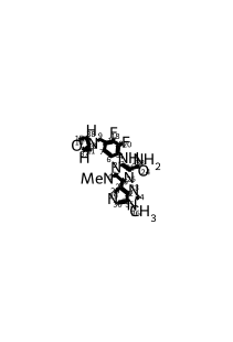 CNc1nc(Nc2ccc(CN3C[C@H]4C[C@@H]3CO4)c(F)c2F)c(C(N)=O)nc1-c1cncc2c1ncn2C